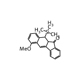 COc1cccc2c1C=C1c3ccccc3C(=O)C1C2[Si](C)(C)C